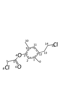 Cc1cc(OC(=O)CCl)c(C)cc1CCCl